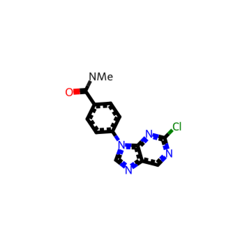 CNC(=O)c1ccc(-n2cnc3cnc(Cl)nc32)cc1